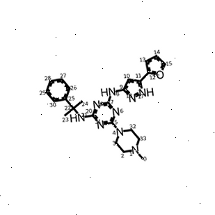 CN1CCN(c2nc(Nc3cc(-c4ccco4)[nH]n3)nc(NC(C)(C)c3ccccc3)n2)CC1